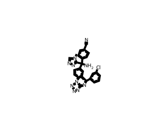 Cn1cnnc1C(N)(c1ccc(C#N)cc1)c1ccc2c(c1)c(-c1cccc(Cl)c1)nc1nnnn12